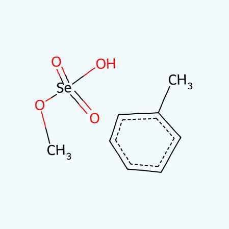 CO[Se](=O)(=O)O.Cc1ccccc1